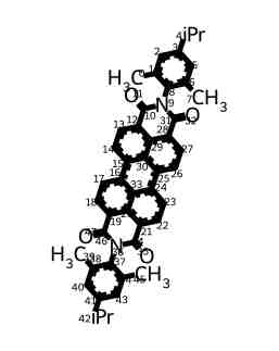 Cc1cc(C(C)C)cc(C)c1N1C(=O)c2ccc3c4ccc5c6c(ccc(c7ccc(c2c37)C1=O)c64)C(=O)N(c1c(C)cc(C(C)C)cc1C)C5=O